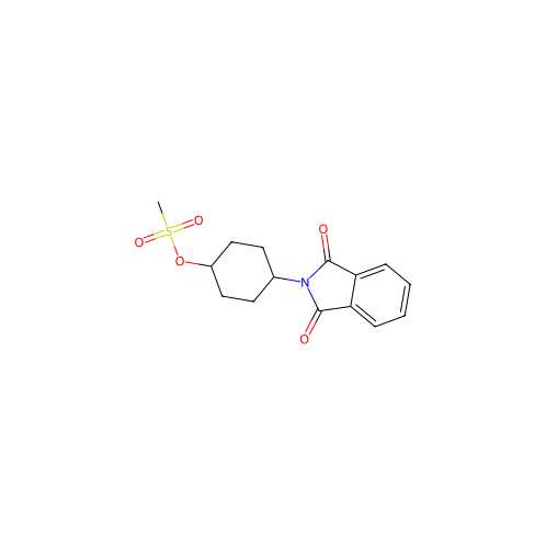 CS(=O)(=O)OC1CCC(N2C(=O)c3ccccc3C2=O)CC1